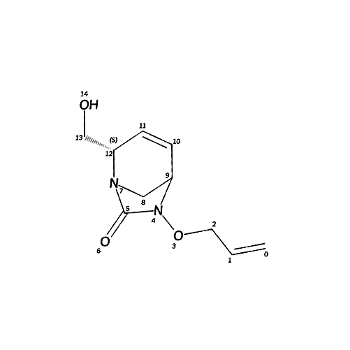 C=CCON1C(=O)N2CC1C=C[C@H]2CO